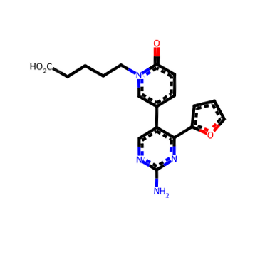 Nc1ncc(-c2ccc(=O)n(CCCCC(=O)O)c2)c(-c2ccco2)n1